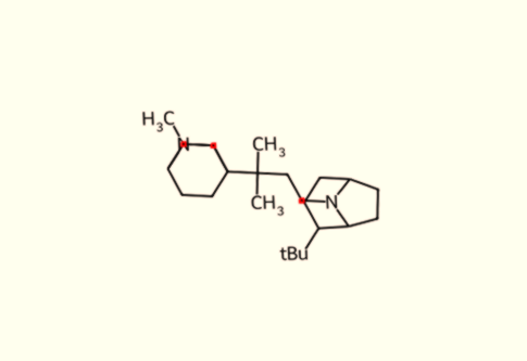 CN1CC2(C(C)(C)CCN3C4CCC3C(C(C)(C)C)CC4)CCC1CC2